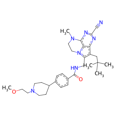 COCCN1CCC(c2ccc(C(=O)NCc3c(CC(C)(C)C)c4nc(C#N)nc5c4n3CCN5C)cc2)CC1